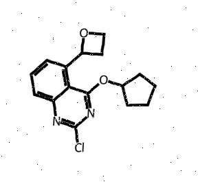 Clc1nc(OC2CCCC2)c2c(C3CCO3)cccc2n1